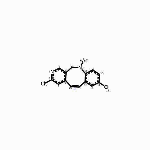 CC(=O)N1Cc2cnc(Cl)cc2/C=C\c2cc(Cl)ccc21